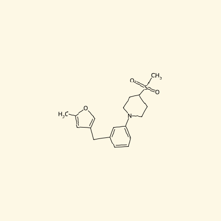 Cc1cc(Cc2cccc(N3CCC(S(C)(=O)=O)CC3)c2)co1